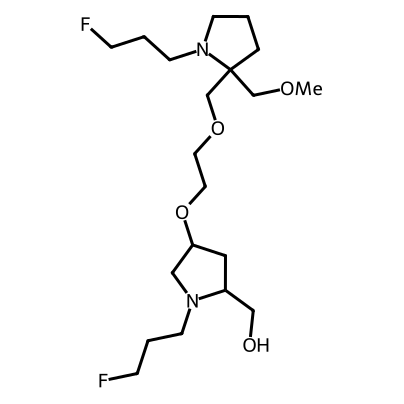 COCC1(COCCOC2CC(CO)N(CCCF)C2)CCCN1CCCF